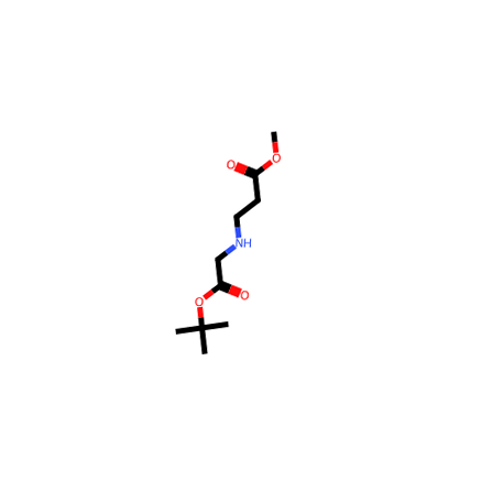 COC(=O)CCNCC(=O)OC(C)(C)C